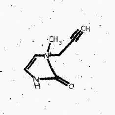 C#CC[N+]1(C)C=CNC1=O